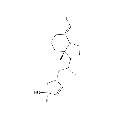 C[C@H](C[C@@H]1C=C[C@@](C)(O)C1)[C@H]1CCC2C(=CI)CCC[C@]21C